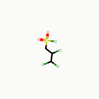 O=S(=O)(Cl)CC(Cl)C(Cl)Cl